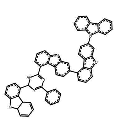 C1=CC2Oc3cccc(C4N=C(c5ccccc5)N=C(c5cccc6sc7cc(-c8cccc9oc%10cc(-n%11c%12ccccc%12c%12ccccc%12%11)ccc%10c89)ccc7c56)N4)c3C2C=C1